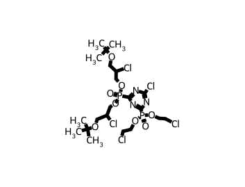 CC(C)(C)OCC(Cl)COP(=O)(OCC(Cl)COC(C)(C)C)c1nc(Cl)nc(P(=O)(OCCCl)OCCCl)n1